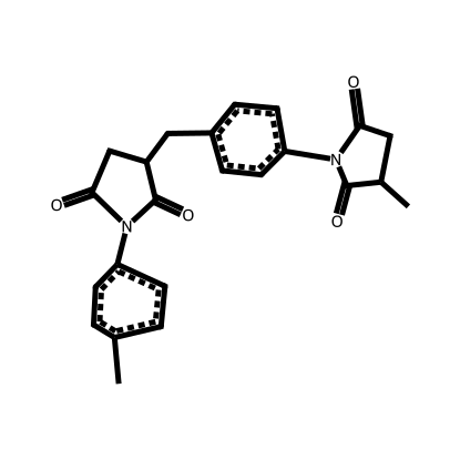 Cc1ccc(N2C(=O)CC(Cc3ccc(N4C(=O)CC(C)C4=O)cc3)C2=O)cc1